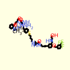 CN(C)c1ccccc1OCC(C=O)NC(=O)C(=N)/N=C(\N)Cc1ccc(SCCCCCn2cc(C(=O)NCCC#Cc3ccc(OCc4ccc(F)c(C(F)(F)F)c4)c(CNCCO)c3)cn2)cc1